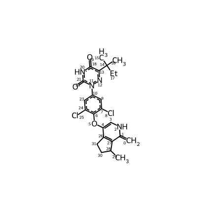 C=C1NC=C(Oc2c(Cl)cc(-n3nc(C(C)(C)CC)c(=O)[nH]c3=O)cc2Cl)C2=C1C(C)CC2